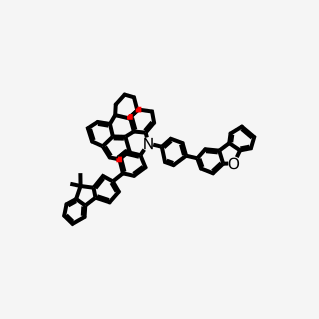 CC1(C)c2ccccc2-c2ccc(-c3ccc(N(C4=CCCC=C4c4cccc5cccc(C6CCCCC6)c45)c4ccc(-c5ccc6oc7ccccc7c6c5)cc4)cc3)cc21